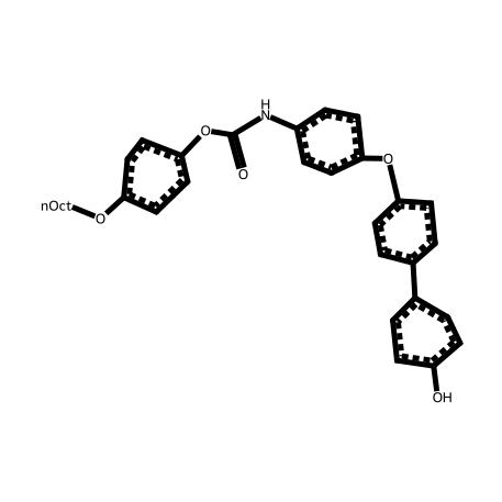 CCCCCCCCOc1ccc(OC(=O)Nc2ccc(Oc3ccc(-c4ccc(O)cc4)cc3)cc2)cc1